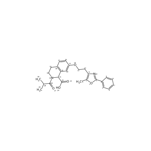 Cc1oc(-c2ccccc2)nc1CCOc1ccc2c(c1)C(C(=O)O)N(C(=O)C(C)C)CC2